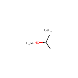 CC(C)O.[GeH4].[GeH4]